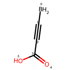 BC#CC(=O)O